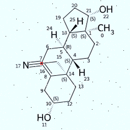 C[C@]12CC[C@H]3[C@@H](CC=C4C[C@@H](O)CC[C@@]43CC#N)[C@@H]1CC[C@@H]2O